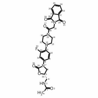 CC(=O)NC[C@H]1CN(c2ccc(N3CCN(C(=O)CN4C(=O)c5ccccc5C4=O)CC3)c(F)c2)C(=O)O1